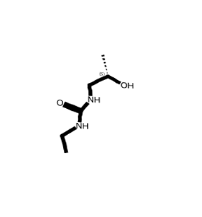 CCNC(=O)NC[C@H](C)O